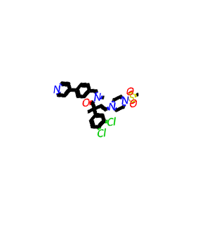 CN(Cc1ccc(-c2ccncc2)cc1)C(=O)C(C)(CCN1CCN(S(C)(=O)=O)CC1)c1ccc(Cl)c(Cl)c1